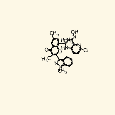 Cc1cc([C@@H](C)Nc2ccc(Cl)nc2/C(N)=N/O)c2oc(-c3nn(C)c4ccccc34)c(C)c(=O)c2c1